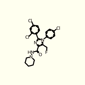 O=C(NN1CCCCC1)c1nc(-c2ccc(Cl)cc2Cl)n(-c2ccc(Cl)cc2)c1CF